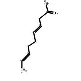 CC=CCCC=CCC(=O)O